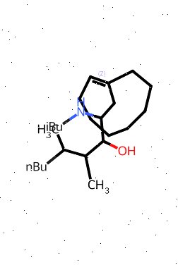 CCCCC(C)C(C)C(O)C(C/C1=C\CCCCCCC1)NC(C)CC